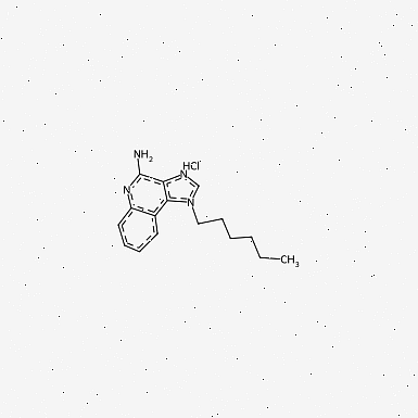 CCCCCCn1cnc2c(N)nc3ccccc3c21.Cl